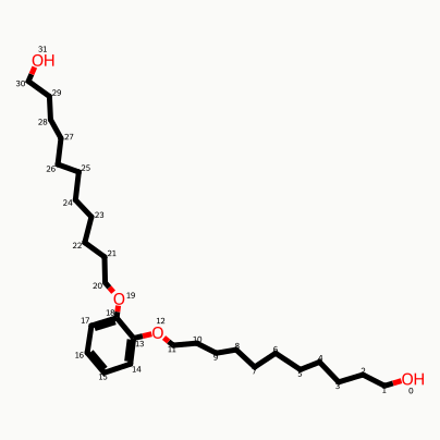 OCCCCCCCCCCCOc1ccccc1OCCCCCCCCCCCO